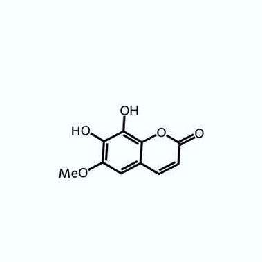 COc1cc2ccc(=O)oc2c(O)c1O